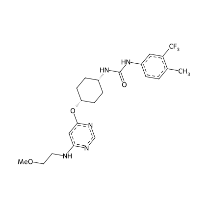 COCCNc1cc(O[C@H]2CC[C@@H](NC(=O)Nc3ccc(C)c(C(F)(F)F)c3)CC2)ncn1